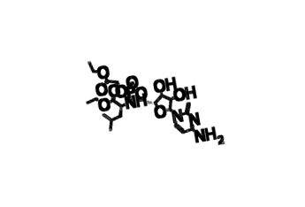 C=C1N=C(N)C=CN1C1O[C@H](COP(=O)(N[C@@H](CC(C)C)C(=O)OCC)OCC(=O)OCC)C(O)[C@H]1O